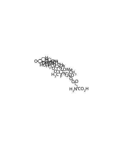 COc1c(N2CCN(C(=O)OCOC(=O)CCC(N)C(=O)O)C(C)C2)c(F)c(C)c2c(=O)c(C(=O)OC(C)(C)C(=O)[C@@]3(O)CC[C@H]4[C@@H]5CCC6=CC(=O)C=C[C@]6(C)C5[C@@H](O)C[C@@]43C)c(C)n(C3CC3)c12